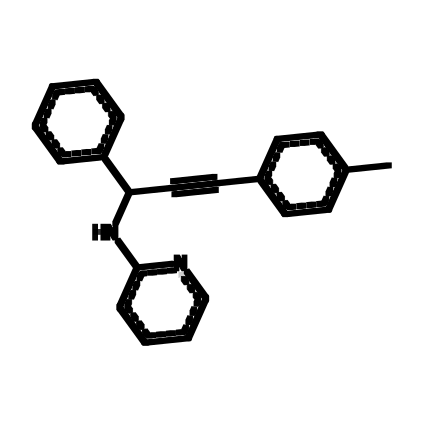 Cc1ccc(C#CC(Nc2ccccn2)c2ccccc2)cc1